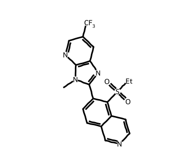 CCS(=O)(=O)c1c(-c2nc3cc(C(F)(F)F)cnc3n2C)ccc2cnccc12